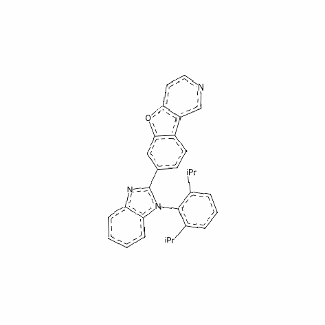 CC(C)c1cccc(C(C)C)c1-n1c(-c2ccc3c(c2)oc2ccncc23)nc2ccccc21